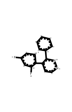 Fc1cc(F)c(-c2ccnnc2-c2ccccc2)c(F)c1